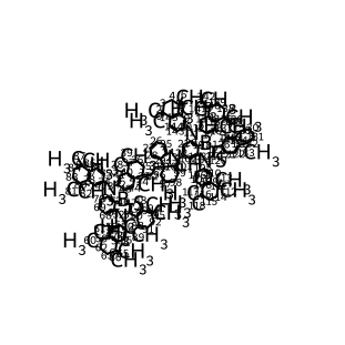 CC1(C)CCC(C)(C)c2cc(N3c4cc5c(cc4B4c6c3cc(N3c7ccccc7C7(CCC8(C)CCC(C)(C)c9cc%10c(cc98)B8c9sc%11c(c9N(c9ccc%12c(c9)C(C)(C)CCC%12(C)C)c9cccc(c98)N%10c8ccc9c(c8)C(C)(C)CCC9(C)C)C(C)(C)CCC%11(C)C)CCCCC37C)cc6N(c3ccc6c(c3)C(C)(C)CCC6(C)C)c3sc6cc7c(cc6c34)C3(C)CCC7(C)C3)C(C)(C)CCC5(C)C)ccc21